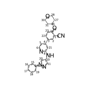 N#Cc1cc(-c2ccnc(Nc3cnn(-c4ccccc4)c3)c2)ccc1OC1CCOCC1